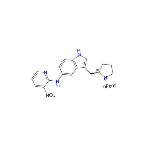 CCCCCN1CCC[C@@H]1Cc1c[nH]c2ccc(Nc3ncccc3[N+](=O)[O-])cc12